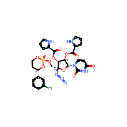 [N-]=[N+]=N[C@]1(COP2(=O)OCC[C@@H](c3cccc(Cl)c3)O2)O[C@@H](n2ccc(=O)[nH]c2=O)[C@H](OC(=O)c2ccc[nH]2)[C@@H]1OC(=O)c1ccc[nH]1